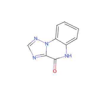 O=c1[nH]c2ccccc2n2ncnc12